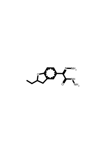 CCC1Cc2cc(C(=NN)C(=O)NN)ccc2O1